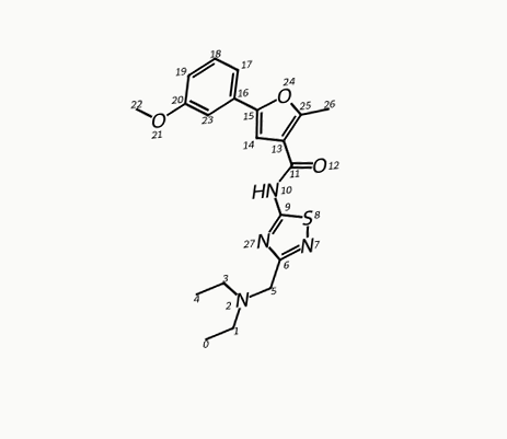 CCN(CC)Cc1nsc(NC(=O)c2cc(-c3cccc(OC)c3)oc2C)n1